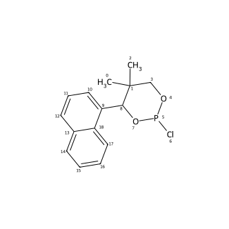 CC1(C)COP(Cl)OC1c1cccc2ccccc12